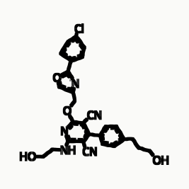 N#Cc1c(NCCO)nc(OCc2coc(-c3ccc(Cl)cc3)n2)c(C#N)c1-c1ccc(CCCO)cc1